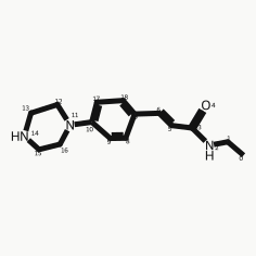 CCNC(=O)/C=C/c1ccc(N2CCNCC2)cc1